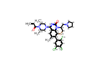 C=CC(=O)N1[C@H](C)CN(c2nc(=O)n3c4c(c(-c5cc(Cl)c(F)cc5F)c(C)cc24)SCC3CN2CCCC2)C[C@@H]1C